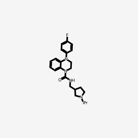 CC(C)N1CCC(CNC(=O)N2CCN(c3ccc(F)cc3)c3ccccc32)C1